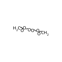 C=CC(=O)OCCOCOCCOC(=O)C=C